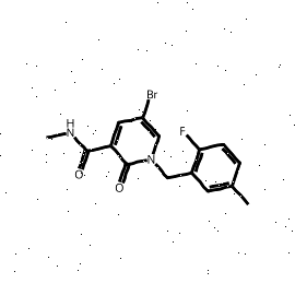 CNC(=O)c1cc(Br)cn(Cc2cc(C)ccc2F)c1=O